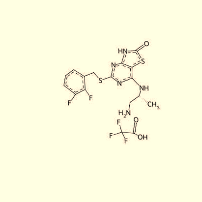 C[C@H](CN)Nc1nc(SCc2cccc(F)c2F)nc2[nH]c(=O)sc12.O=C(O)C(F)(F)F